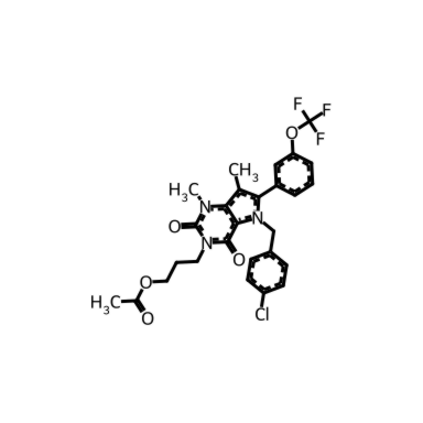 CC(=O)OCCCn1c(=O)c2c(c(C)c(-c3cccc(OC(F)(F)F)c3)n2Cc2ccc(Cl)cc2)n(C)c1=O